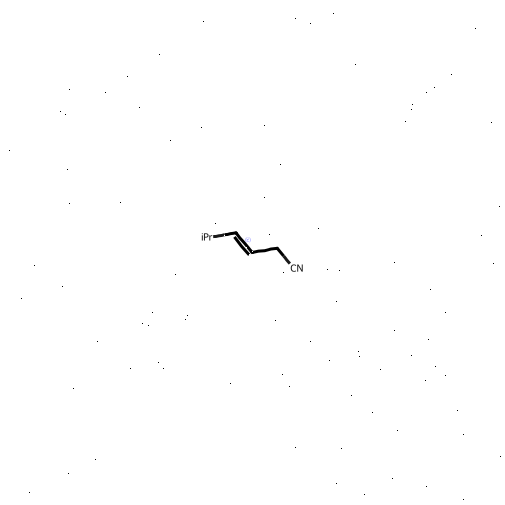 CC(C)/C=C/CC#N